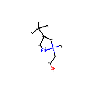 CC(C)(C)C1CN[N+](C)(CCO)C1